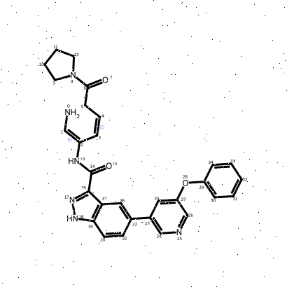 N/C=C(\C=C/CC(=O)N1CCCC1)NC(=O)c1n[nH]c2ccc(-c3cncc(Oc4ccccc4)c3)cc12